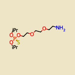 CC(C)OP(=S)(OCCOCCOCCN)OC(C)C